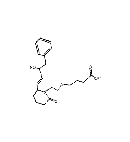 O=C(O)CCCSCCN1C(=O)CCCC1C=CC(O)Cc1ccccc1